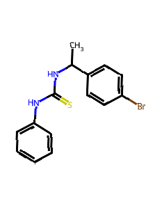 CC(NC(=S)Nc1cc[c]cc1)c1ccc(Br)cc1